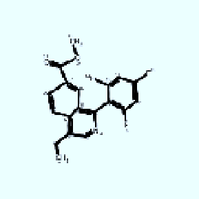 CCc1cnc(-c2c(F)cc(F)cc2F)c2cc(C(=O)OC)ccc12